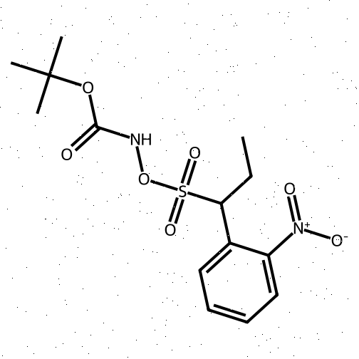 CCC(c1ccccc1[N+](=O)[O-])S(=O)(=O)ONC(=O)OC(C)(C)C